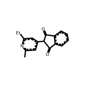 CCc1cc(C2C(=O)c3ccccc3C2=O)cc(C)n1